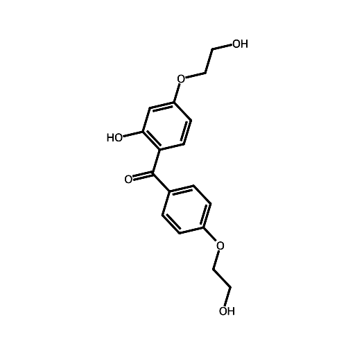 O=C(c1ccc(OCCO)cc1)c1ccc(OCCO)cc1O